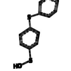 OSc1ccc(Sc2ccccc2)cc1